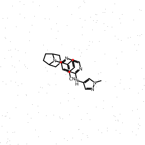 Cn1cc(Nc2nccc(N3CC4CCC(C3)N4c3cc(C#N)ccn3)n2)cn1